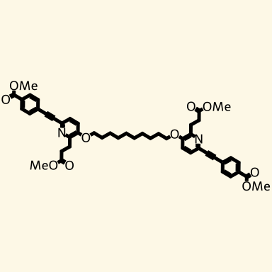 COC(=O)CCc1nc(C#Cc2ccc(C(=O)OC)cc2)ccc1OCCCCCCCCCCOc1ccc(C#Cc2ccc(C(=O)OC)cc2)nc1CCC(=O)OC